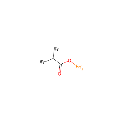 CC(C)C(C(=O)OP)C(C)C